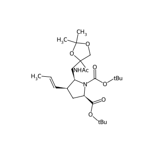 CC=C[C@@H]1C[C@H](C(=O)OC(C)(C)C)N(C(=O)OC(C)(C)C)[C@@H]1CC1(NC(C)=O)COC(C)(C)O1